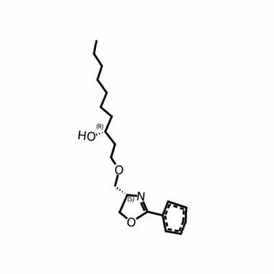 CCCCCCC[C@@H](O)CCOC[C@H]1COC(c2ccccc2)=N1